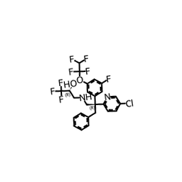 O[C@H](CNC[C@@](Cc1ccccc1)(c1cc(F)cc(OC(F)(F)C(F)F)c1)c1ccc(Cl)cn1)C(F)(F)F